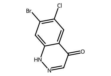 O=c1cn[nH]c2cc(Br)c(Cl)cc12